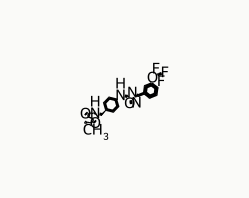 CCS(=O)(=O)NC[C@H]1CC[C@H](Nc2nc(-c3cccc(OC(F)(F)F)c3)no2)CC1